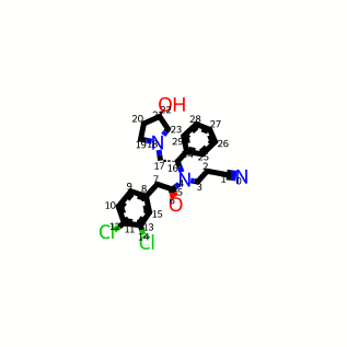 N#CCCN(C(=O)Cc1ccc(Cl)c(Cl)c1)[C@H](CN1CC[C@H](O)C1)c1ccccc1